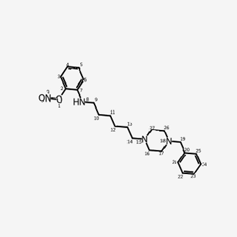 O=NOc1ccccc1NCCCCCCN1CCN(Cc2ccccc2)CC1